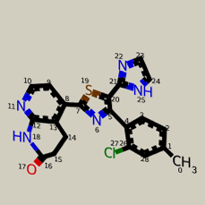 Cc1ccc(-c2nc(-c3ccnc4c3CCC(=O)N4)sc2-c2ncc[nH]2)c(Cl)c1